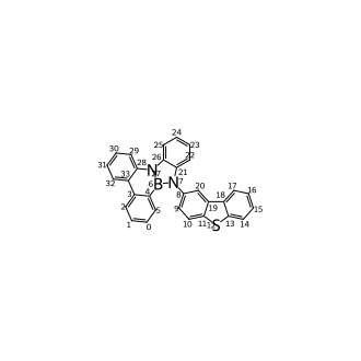 c1ccc2c(c1)B1N(c3ccc4sc5ccccc5c4c3)c3ccccc3N1c1ccccc1-2